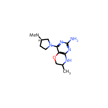 CN[C@@H]1CCN(c2nc(N)nc3c2OCC(C)N3)C1